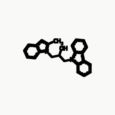 Cc1cc2ccccc2n1CC(O)Cn1c2ccccc2c2ccccc21